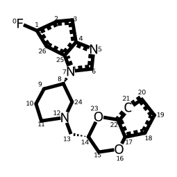 Fc1ccc2ncn([C@H]3CCCN(C[C@H]4COc5ccccc5O4)C3)c2c1